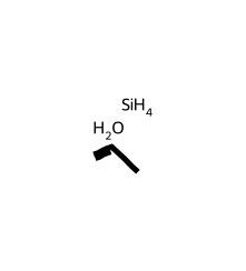 C=CC.O.[SiH4]